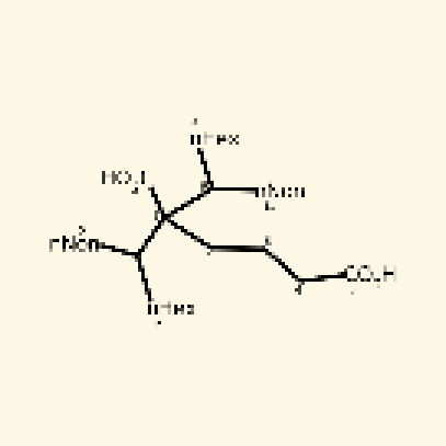 CCCCCCCCCC(CCCCCC)C(CCCC(=O)O)(C(=O)O)C(CCCCCC)CCCCCCCCC